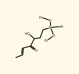 CC=CC(=O)C(O)CC[Si](CCC)(OCC)OCC